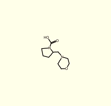 O=C(O)N1CCCC1CN1CCOCC1